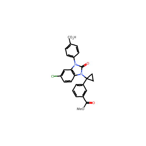 COC(=O)c1cccc(C2(n3c(=O)n(-c4ccc(C(=O)O)cc4)c4cc(Cl)ccc43)CC2)c1